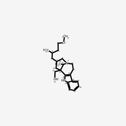 COCCC(C)CC1CN2CCc3c([nH]c4ccccc34)C(CO)(C1)C2C